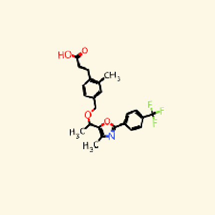 Cc1cc(COC(C)c2oc(-c3ccc(C(F)(F)F)cc3)nc2C)ccc1CCC(=O)O